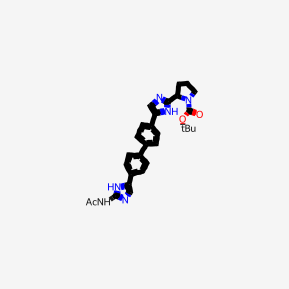 CC(=O)Nc1ncc(-c2ccc(-c3ccc(-c4cnc(C5CCCN5C(=O)OC(C)(C)C)[nH]4)cc3)cc2)[nH]1